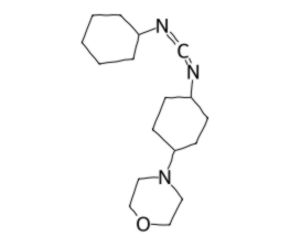 C(=NC1CCCCC1)=NC1CCC(N2CCOCC2)CC1